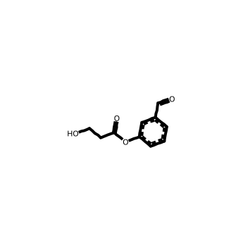 O=Cc1cccc(OC(=O)CCO)c1